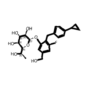 C[C@@H](O)[C@H]1O[C@@H](Oc2cc(CO)cc(F)c2Cc2ccc(C3CC3)cc2)[C@H](O)[C@@H](O)[C@@H]1O